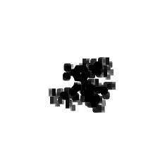 CC(C)(C)OC(=O)CN(Cc1cc([N+](=O)[O-])ccc1O[Si](C)(C)C(C)(C)C)CC(N(CC(=O)O)CC(=O)O)(C(C)(C)C)C(C)(C)C